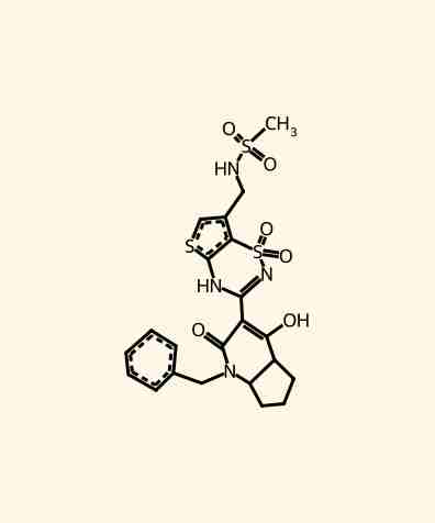 CS(=O)(=O)NCc1csc2c1S(=O)(=O)N=C(C1=C(O)C3CCCC3N(Cc3ccccc3)C1=O)N2